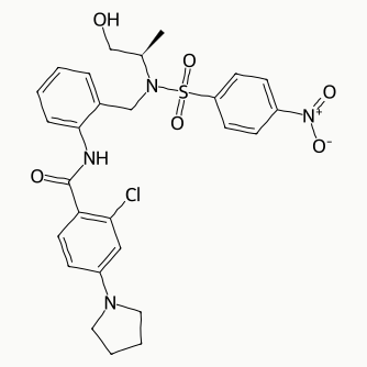 C[C@H](CO)N(Cc1ccccc1NC(=O)c1ccc(N2CCCC2)cc1Cl)S(=O)(=O)c1ccc([N+](=O)[O-])cc1